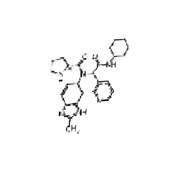 Cc1nc2c([nH]1)CC(N(C(=O)[C@H]1CCCN1)C(C(=O)NC1CCCCC1)c1cccnc1)C=C2